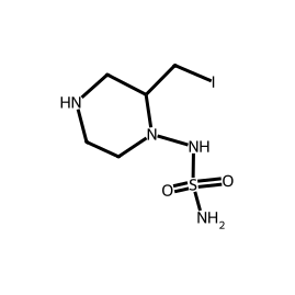 NS(=O)(=O)NN1CCNCC1CI